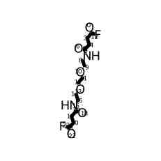 O=C(F)CCC(=O)NCCOCCOCCNC(=O)CCC(=O)F